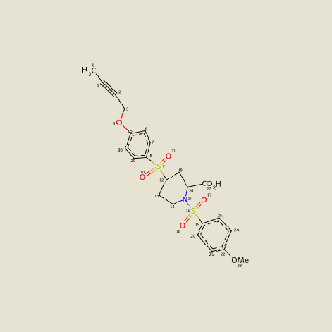 CC#CCOc1ccc(S(=O)(=O)C2CCN(S(=O)(=O)c3ccc(OC)cc3)C(C(=O)O)C2)cc1